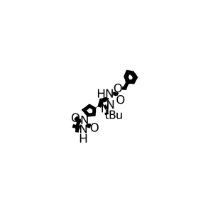 CC1(C)NC(=O)N([C@@H]2CC[C@H](c3cc(NC(=O)OCc4ccccc4)nn3C(C)(C)C)C2)C1=O